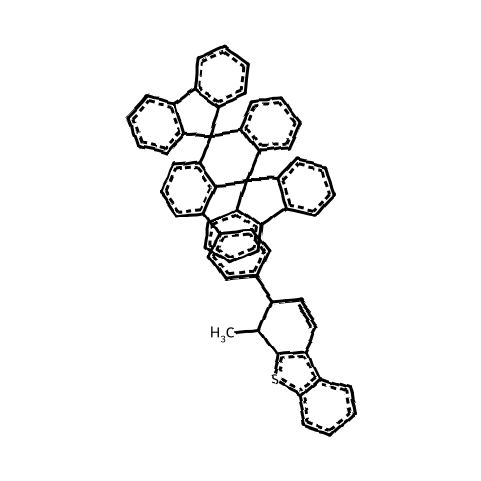 CC1c2sc3ccccc3c2C=CC1c1ccc(-c2cccc3c2C2(c4ccccc4-c4ccccc42)c2ccccc2C32c3ccccc3-c3ccccc32)cc1